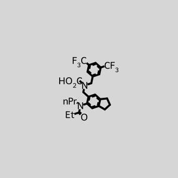 CCCN(C(=O)CC)c1cc2c(cc1CN(Cc1cc(C(F)(F)F)cc(C(F)(F)F)c1)C(=O)O)CCC2